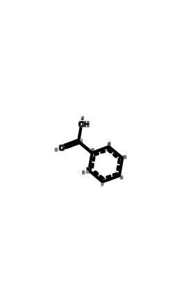 O=C(O)c1c[c]ccn1